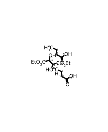 CCCC(=O)O.CCCC(=O)O.CCOC(=O)C(O)C(O)C(=O)OCC